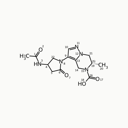 CC(=O)NC1CC(=O)N(c2cnn3c2CN(C(=O)O)[C@@H](C)C3)C1